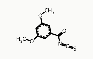 COc1cc(OC)cc(C(=O)N=C=S)c1